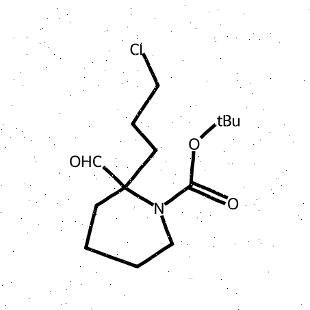 CC(C)(C)OC(=O)N1CCCCC1(C=O)CCCCl